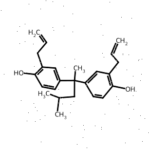 C=CCc1cc(C(C)(CC(C)C)c2ccc(O)c(CC=C)c2)ccc1O